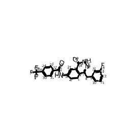 O=C(Nc1ccc2c(Cc3cccc(F)c3)n[nH]c(=O)c2c1)c1ccc(C(F)(F)F)cc1